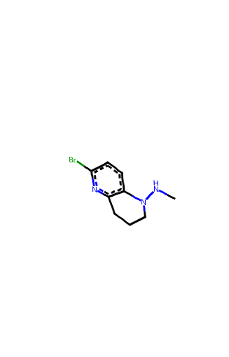 CNN1CCCc2nc(Br)ccc21